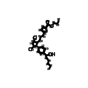 CCCCCC(O)c1ccc([C@H]2C(Cl)CC(Cl)C2CCCc2ccc(C(=O)OCCC)s2)cc1